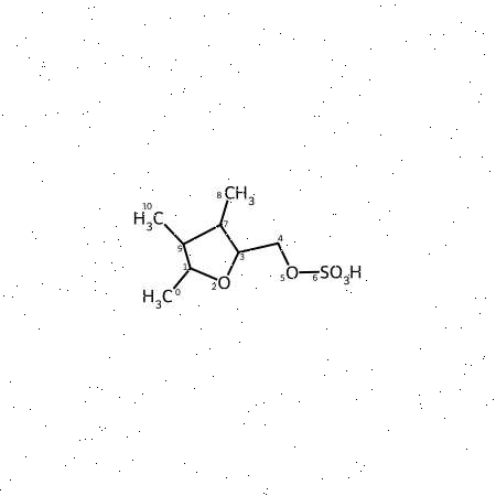 CC1OC(COS(=O)(=O)O)C(C)C1C